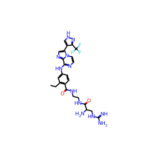 CCc1cc(Nc2nccn3c(-c4c[nH]nc4C(F)(F)F)cnc23)ccc1C(=O)NCCNC(=O)C(N)CNC(=N)N